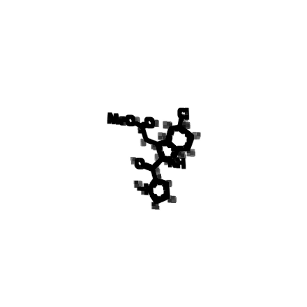 COC(=O)Cc1c(C(=O)c2cccn2C)[nH]c2ccc(Cl)cc12